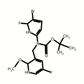 COC1NC=C(F)C=C1CN(C(=O)OC(C)(C)C)C1=CC=C(Br)C(F)N1